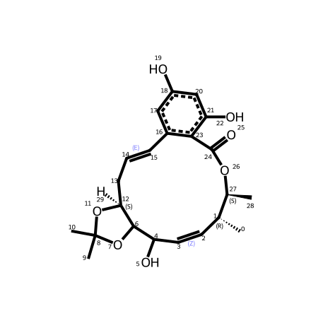 C[C@@H]1/C=C\C(O)C2OC(C)(C)O[C@H]2C/C=C/c2cc(O)cc(O)c2C(=O)O[C@H]1C